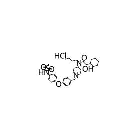 CCCCN(C(=O)[C@@H](O)C1CCCCC1)C1CCN(Cc2ccc(Oc3ccc(NS(C)(=O)=O)cc3)cc2)CC1.Cl